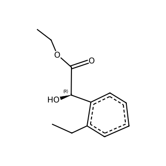 CCOC(=O)[C@H](O)c1ccccc1CC